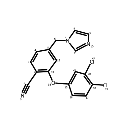 N#Cc1ccc(Cn2ccnc2)cc1Oc1ccc(Cl)c(Cl)c1